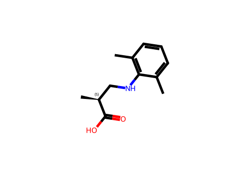 Cc1cccc(C)c1NC[C@H](C)C(=O)O